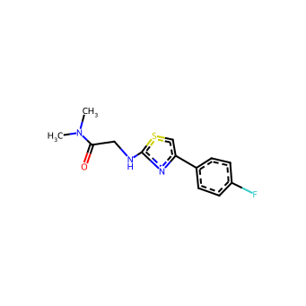 CN(C)C(=O)CNc1nc(-c2ccc(F)cc2)cs1